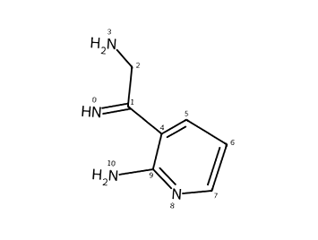 N=C(CN)c1cccnc1N